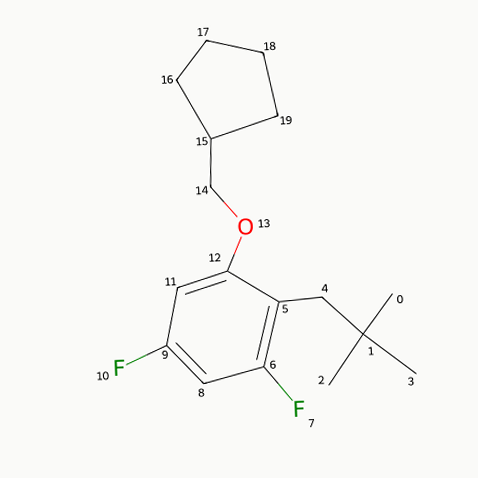 CC(C)(C)Cc1c(F)cc(F)cc1OCC1CCCC1